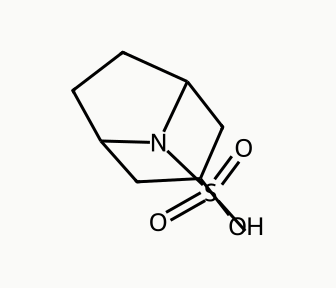 CS(=O)(=O)N1C2CCC1CC(O)C2